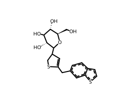 OC[C@H]1OC(C2C=C(Cc3ccc4ccsc4c3)SC2)[C@H](O)C(O)[C@@H]1O